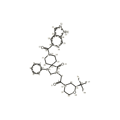 O=C(CN1CN(c2ccccc2)C2(CCN(C(=O)c3cc4cn[nH]c4cn3)CC2)C1=O)N1CCO[C@H](C(F)(F)F)C1